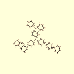 C1=CC(N(c2ccc(-c3cccc4c3oc3ccccc34)cc2)c2ccc3c(c2)c2ccccc2n3-c2ccccc2)CC=C1c1ccc(-c2ccccc2)cc1